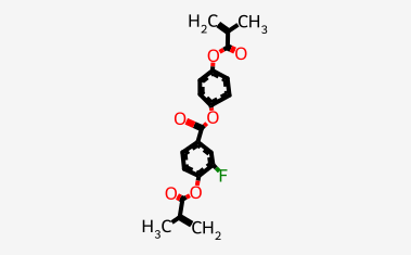 C=C(C)C(=O)Oc1ccc(OC(=O)c2ccc(OC(=O)C(=C)C)c(F)c2)cc1